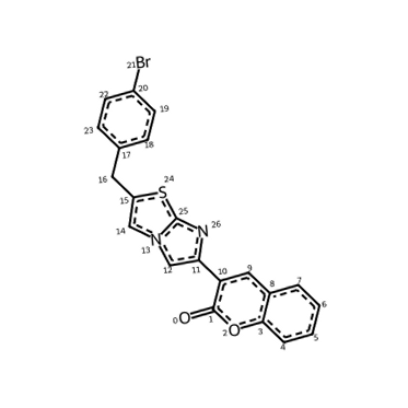 O=c1oc2ccccc2cc1-c1cn2cc(Cc3ccc(Br)cc3)sc2n1